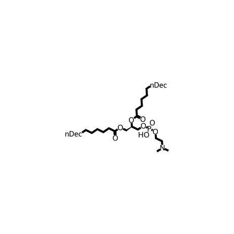 CCCCCCCCCCCCCCCC(=O)OC[C@H](COP(=O)(O)OCCN(C)C)OC(=O)CCCCCCCCCCCCCCC